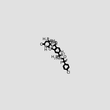 BC(B)(NC(=O)C(F)(F)c1ccc(Cl)cc1)c1ccc2c(c1)CN([C@]1(B)C(=O)NC(=O)CC1(B)B)C2=O